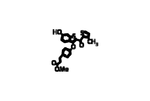 COC(=O)/C=C/c1ccc(Oc2c(C(=O)c3sccc3C)sc3cc(O)ccc23)cc1